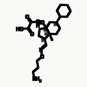 C[C@]12CC[C@H](C3CCCCC3)C[C@@]1(O)CC[C@@H]2C=NOCCCN.O=C(O)C(=O)O